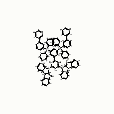 c1ccc(-c2cccc(S(c3ccccc3)(c3ccccc3)c3cc(-c4nc(-n5c6ccccc6n6c7ccccc7nc56)nc(-n5c6ccccc6n6c7ccccc7nc56)n4)cc(S(c4ccccc4)(c4ccccc4)c4cccc(-c5ccccc5)c4)c3)c2)cc1